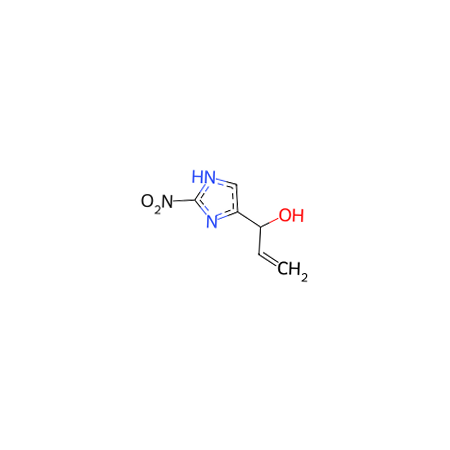 C=CC(O)c1c[nH]c([N+](=O)[O-])n1